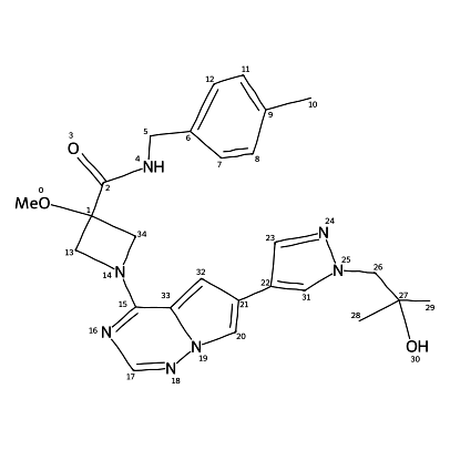 COC1(C(=O)NCc2ccc(C)cc2)CN(c2ncnn3cc(-c4cnn(CC(C)(C)O)c4)cc23)C1